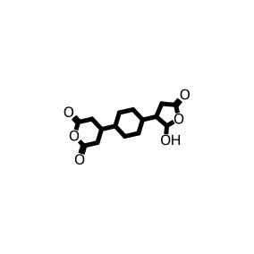 O=C1CC(C2CCC(C3CC(=O)OC3O)CC2)CC(=O)O1